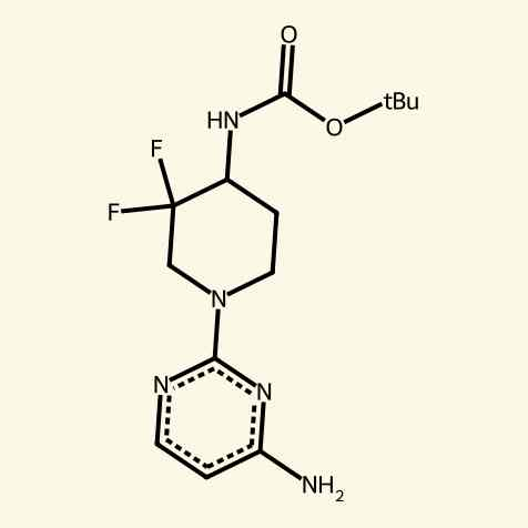 CC(C)(C)OC(=O)NC1CCN(c2nccc(N)n2)CC1(F)F